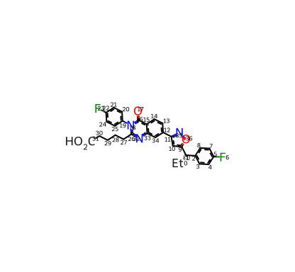 CC[C@@H](c1ccc(F)cc1)c1cc(-c2ccc3c(=O)n(-c4ccc(F)cc4)c(CCCCC(=O)O)nc3c2)no1